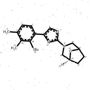 Cc1ccc(-c2csc(N3CC4CC[C@@H](C3)O4)n2)c(C(C)(C)C)c1C